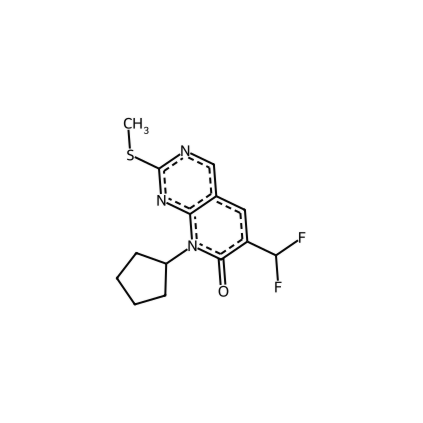 CSc1ncc2cc(C(F)F)c(=O)n(C3CCCC3)c2n1